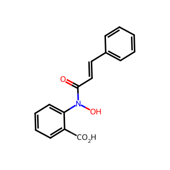 O=C(O)c1ccccc1N(O)C(=O)C=Cc1ccccc1